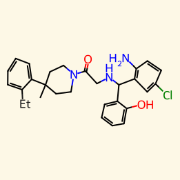 CCc1ccccc1C1(C)CCN(C(=O)CNC(c2cc(Cl)ccc2N)c2ccccc2O)CC1